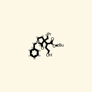 CC(C)CC1(C(CCO)C(=O)OC(C)(C)C)CCN(Cc2ccccc2)C1=O